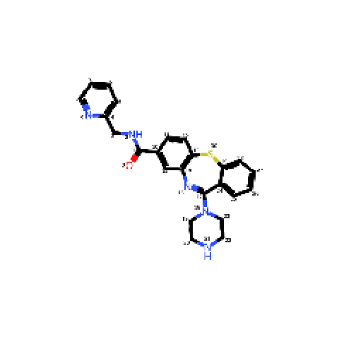 O=C(NCc1ccccn1)c1ccc2c(c1)N=C(N1CCNCC1)c1ccccc1S2